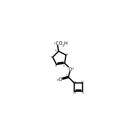 O=C(OC1=CCC(C(=O)O)C1)C1C=CC1